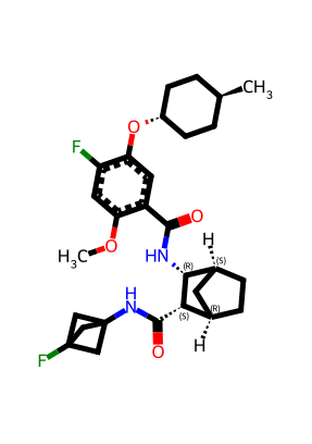 COc1cc(F)c(O[C@H]2CC[C@H](C)CC2)cc1C(=O)N[C@@H]1[C@H]2CC[C@H](C2)[C@@H]1C(=O)NC12CC(F)(C1)C2